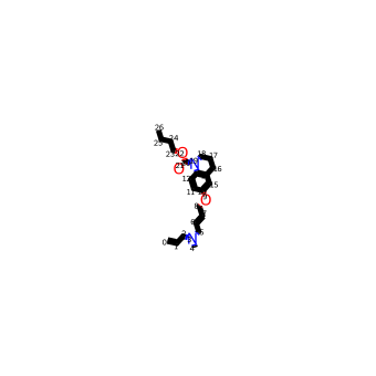 C=CCN(C)C/C=C/COc1ccc2c(c1)CCCN2C(=O)OCCCC